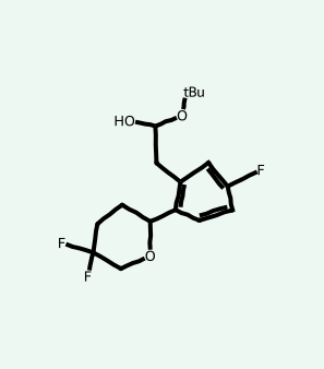 CC(C)(C)OC(O)Cc1cc(F)ccc1C1CCC(F)(F)CO1